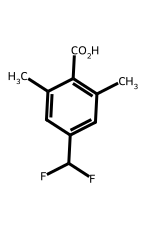 Cc1cc(C(F)F)cc(C)c1C(=O)O